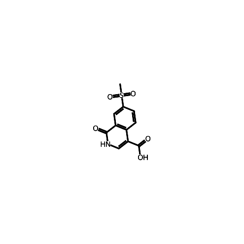 CS(=O)(=O)c1ccc2c(C(=O)O)c[nH]c(=O)c2c1